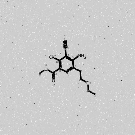 C#Cc1c(N)c(CCOCC)cc(C(=O)OC)c1Cl